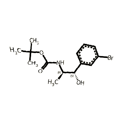 C[C@@H](NC(=O)OC(C)(C)C)[C@@H](O)c1cccc(Br)c1